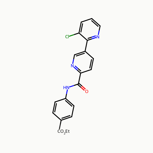 CCOC(=O)c1ccc(NC(=O)c2ccc(-c3ncccc3Cl)cn2)cc1